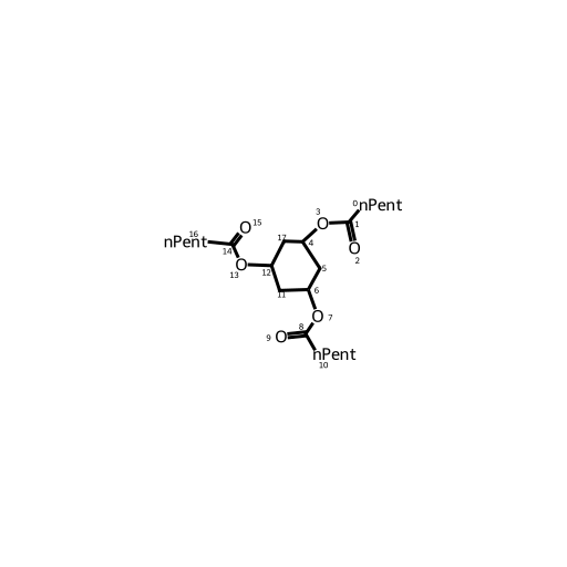 CCCCCC(=O)OC1CC(OC(=O)CCCCC)CC(OC(=O)CCCCC)C1